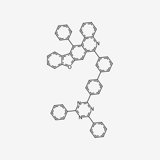 c1ccc(-c2nc(-c3ccccc3)nc(-c3ccc(-c4cccc(-c5nc6ccccc6c6c(-c7ccccc7)c7c(cc56)oc5ccccc57)c4)cc3)n2)cc1